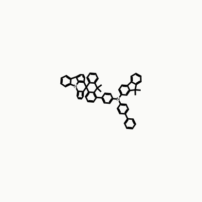 CC1(C)c2ccccc2-c2ccc(N(c3ccc(-c4ccccc4)cc3)c3ccc(-c4cccc5c4C(C)(C)c4ccccc4C54c5ccccc5-n5c6ccccc6c6cccc4c65)cc3)cc21